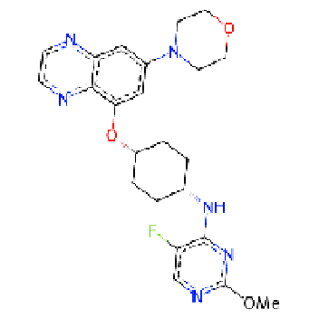 COc1ncc(F)c(N[C@H]2CC[C@@H](Oc3cc(N4CCOCC4)cc4nccnc34)CC2)n1